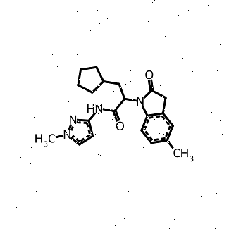 Cc1ccc2c(c1)CC(=O)N2C(CC1CCCC1)C(=O)Nc1ccn(C)n1